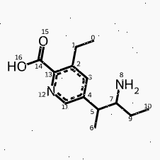 CCc1cc(C(C)C(N)CC)cnc1C(=O)O